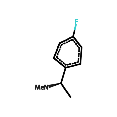 CN[C@H](C)c1ccc(F)cc1